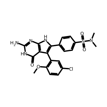 COc1ccc(Cl)cc1-c1c(-c2ccc(S(=O)(=O)N(C)C)cc2)[nH]c2nc(N)[nH]c(=O)c12